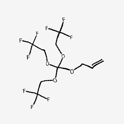 C=CCOC(OCC(F)(F)F)(OCC(F)(F)F)OCC(F)(F)F